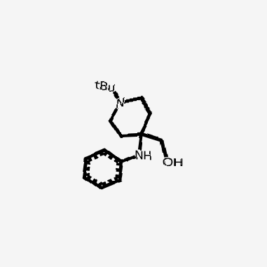 CC(C)(C)N1CCC(CO)(Nc2ccccc2)CC1